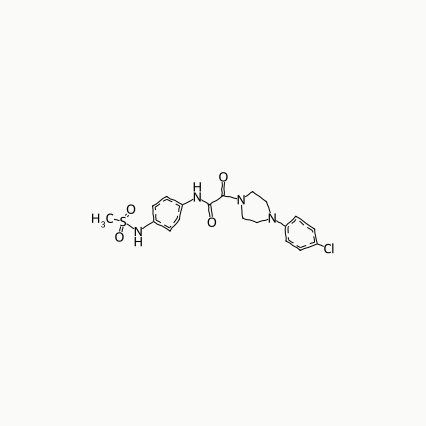 CS(=O)(=O)Nc1ccc(NC(=O)C(=O)N2CCN(c3ccc(Cl)cc3)CC2)cc1